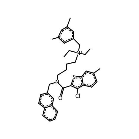 CC[N+](CC)(CCCCN(Cc1ccc2ccccc2c1)C(=O)c1sc2cc(C)ccc2c1Cl)Cc1cc(C)cc(C)c1